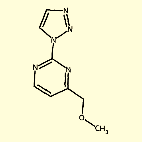 COCc1ccnc(-n2ccnn2)n1